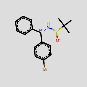 CC(C)(C)[S+]([O-])N[C@@H](c1ccccc1)c1ccc(Br)cc1